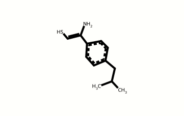 CC(C)Cc1ccc(/C(N)=C/S)cc1